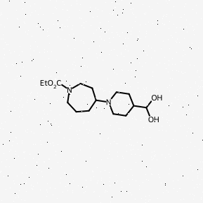 CCOC(=O)N1CCCC(N2CCC(C(O)O)CC2)CC1